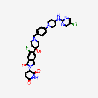 O=C1CCC(N2Cc3cc(C4(O)CCN(Cc5ccc(N6CCC(Nc7ncc(Cl)cn7)CC6)cc5)CC4)c(F)cc3C2=O)C(=O)N1